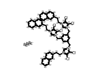 Clc1c(Cl)[n+](Cc2cc(C[n+]3cn(CCc4ccc5ccccc5c4)c(Cl)c3Cl)cc(C[n+]3cn(CCc4ccc5ccccc5c4)c(Cl)c3Cl)c2)cn1CCc1ccc2ccccc2c1.[Br-].[Br-].[Br-]